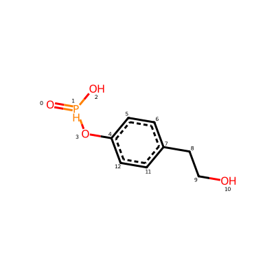 O=[PH](O)Oc1ccc(CCO)cc1